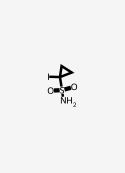 NS(=O)(=O)C1(I)CC1